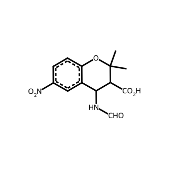 CC1(C)Oc2ccc([N+](=O)[O-])cc2C(NC=O)C1C(=O)O